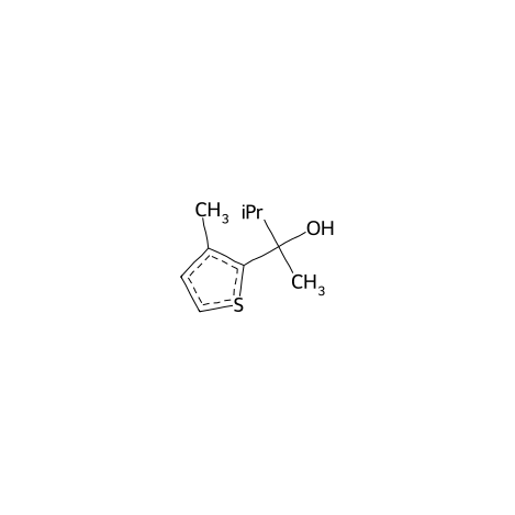 Cc1ccsc1C(C)(O)C(C)C